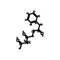 CC(=O)NC(=O)CSC(=O)Cc1ccccc1